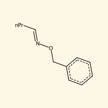 CCCC=NOCc1ccccc1